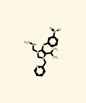 CNCN1CN(Cc2ccccn2)C(C(C)C)=C1Sc1cccc([N+](=O)[O-])c1